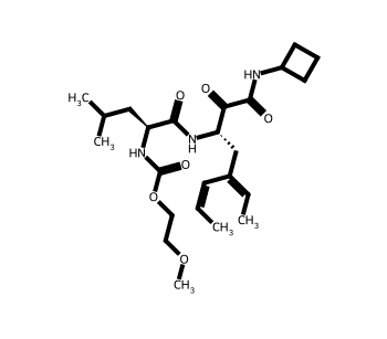 C/C=C\C(=C/C)C[C@H](NC(=O)[C@H](CC(C)C)NC(=O)OCCOC)C(=O)C(=O)NC1CCC1